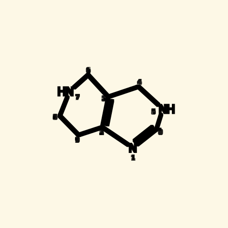 [C]1=NC2=C(CN1)CNCC2